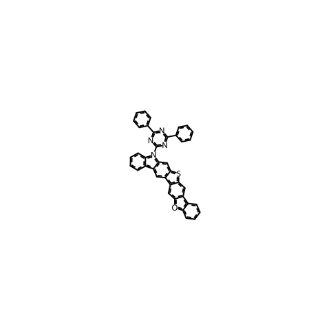 c1ccc(-c2nc(-c3ccccc3)nc(-n3c4ccccc4c4cc5c(cc43)sc3cc4c(cc35)oc3ccccc34)n2)cc1